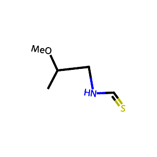 COC(C)CNC=S